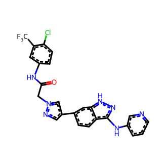 O=C(Cn1cc(-c2ccc3c(Nc4cccnc4)n[nH]c3c2)cn1)Nc1ccc(Cl)c(C(F)(F)F)c1